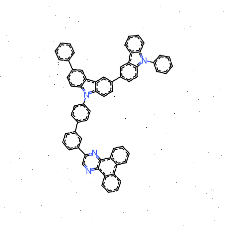 c1ccc(-c2ccc3c(c2)c2cc(-c4ccc5c(c4)c4ccccc4n5-c4ccccc4)ccc2n3-c2ccc(-c3cccc(-c4cnc5c6ccccc6c6ccccc6c5n4)c3)cc2)cc1